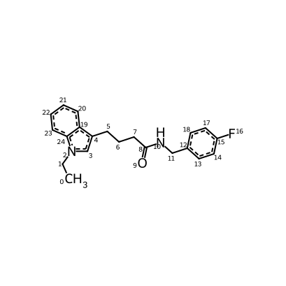 CCn1cc(CCCC(=O)NCc2ccc(F)cc2)c2ccccc21